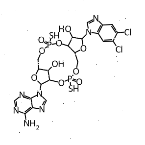 Nc1ncnc2c1ncn2C1OC2COP(=O)(S)OC3C(COP(=O)(S)OC1C2O)OC(n1cnc2cc(Cl)c(Cl)cc21)C3O